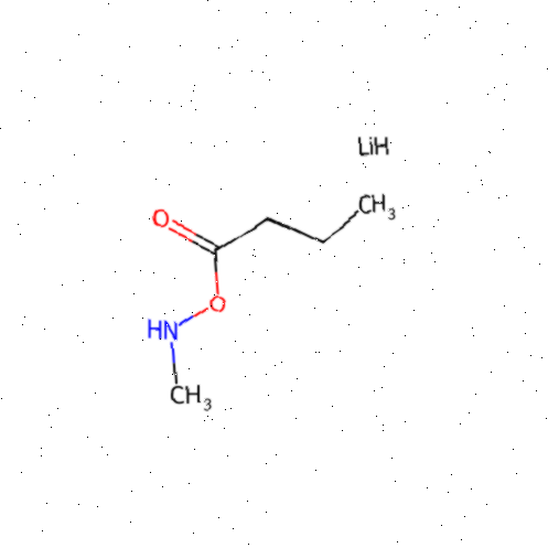 CCCC(=O)ONC.[LiH]